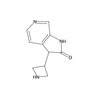 O=C1Nc2cnccc2C1C1CNC1